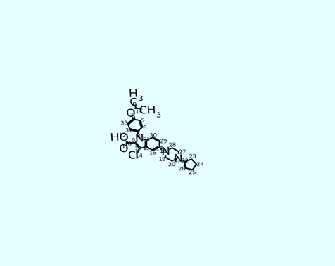 CC(C)Oc1ccc(-n2c(C(=O)O)c(Cl)c3cc(N4CCN(C5CCCC5)CC4)ccc32)cc1